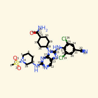 CS(=O)(=O)N1CCC[C@@H](Nc2ncc3nc(Nc4c(Cl)cc(C#N)cc4Cl)n(C4CCC(C(N)=O)CC4)c3n2)C1